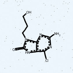 Nc1nc(Cl)c2[nH]c(=O)n(CCCO)c2n1